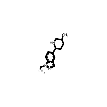 CCn1ncc2cc(C3CCC(C)CN3)ccc21